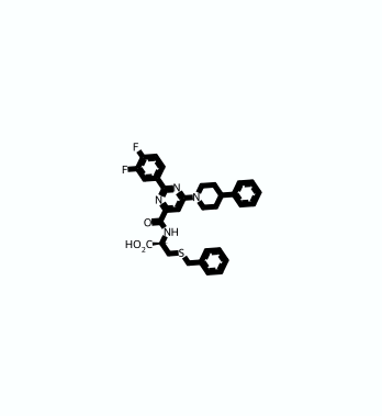 O=C(N[C@@H](CSCc1ccccc1)C(=O)O)c1cc(N2CCC(c3ccccc3)CC2)nc(-c2ccc(F)c(F)c2)n1